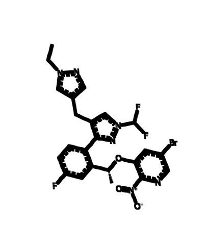 CCn1cc(Cc2cn(C(F)F)nc2-c2ccc(F)cc2[C@@H](C)Oc2cc(Br)cnc2[N+](=O)[O-])cn1